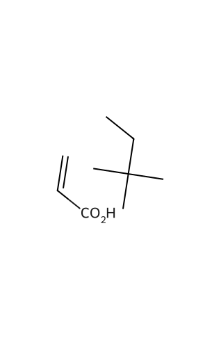 C=CC(=O)O.CCC(C)(C)C